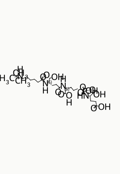 CC(C)(C)NCCCCCC(=O)N[C@@H](CCC(=O)N[C@@H](CCCOP(=O)(O)NC(CCC(=O)O)C(=O)O)C(=O)O)C(=O)O